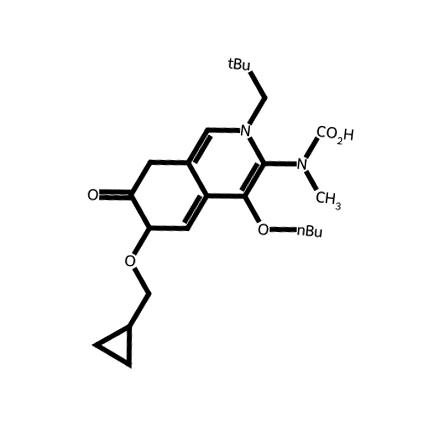 CCCCOC1=C(N(C)C(=O)O)N(CC(C)(C)C)C=C2CC(=O)C(OCC3CC3)C=C21